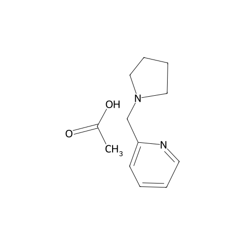 CC(=O)O.c1ccc(CN2CCCC2)nc1